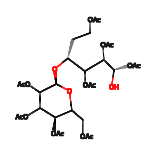 CC(=O)OCC[C@@H](O[C@H]1OC(COC(C)=O)[C@@H](OC(C)=O)C(OC(C)=O)C1OC(C)=O)C(OC(C)=O)C(OC(C)=O)[C@@H](O)OC(C)=O